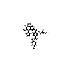 C=C(COc1cc(C(=O)NC2CCN(C)CC2)ccc1Nc1ncc2c(n1)N(C1CCCC1)[C@H](CC)C(=O)N2C)C(=O)O